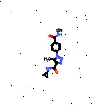 CCCCNC(=O)c1ccc(-n2nnc(C(=O)NC3CC3)c2C)cc1